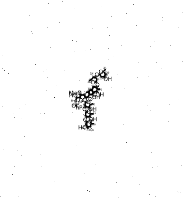 CCCC(=O)O[C@H](C)[C@H](O)C(=O)[C@@H](OC)[C@@H]1Cc2cc3cc(O[C@H]4C[C@@H](O[C@H]5C[C@@H](O)[C@@H](C)C(C)O5)[C@@H](C)C(C)O4)c(C)c(O)c3c(O)c2C(=O)[C@H]1O[C@H]1C[C@@H](O[C@H]2C[C@@H](O[C@H]3CC(C)(O)[C@@H](C)C(C)O3)[C@H](O)C(C)O2)[C@H](O)C(C)O1